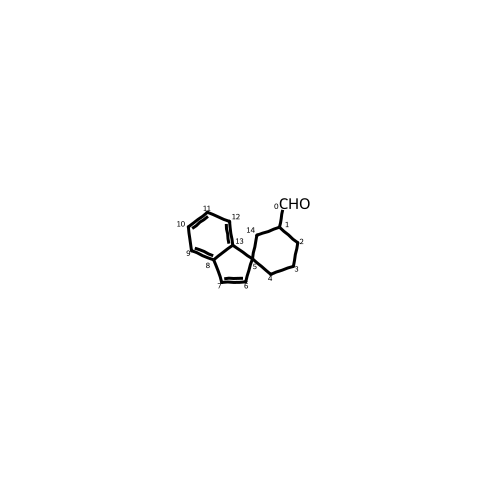 O=CC1CCCC2(C=Cc3ccccc32)C1